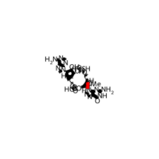 CO[C@H]1[C@H]2OP(=O)(O)OCC34C[C@@H]3[C@@H](n3cnc5c(N)ncnc53)[C@H](O)[C@@H]4O[P@@](=O)(S)OC[C@H]1O[C@H]2n1nnc2c(=O)[nH]c(N)nc21